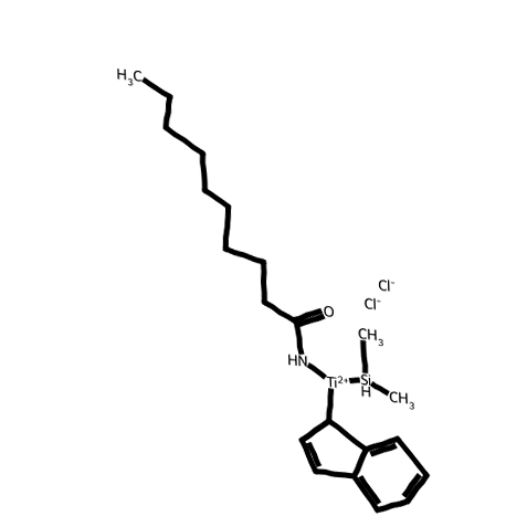 CCCCCCCCCC(=O)[NH][Ti+2]([CH]1C=Cc2ccccc21)[SiH](C)C.[Cl-].[Cl-]